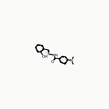 CN(C)c1ccc(C(=O)N/N=C/c2ccccc2O)cc1